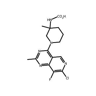 Cc1nc(N2CCCC(C)(NC(=O)O)C2)c2cnc(Cl)c(F)c2n1